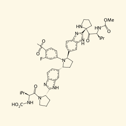 COC(=O)N[C@H](C(=O)[C@@]1(c2nc3ccc([C@H]4CC[C@H](c5ccc6nc([C@@H]7CCCN7C(=O)[C@@H](NC(=O)O)C(C)C)[nH]c6c5)N4c4ccc(S(C)(=O)=O)c(F)c4)cc3[nH]2)CCCN1)C(C)C